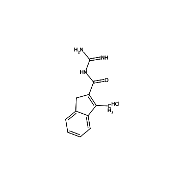 CC1=C(C(=O)NC(=N)N)Cc2ccccc21.Cl